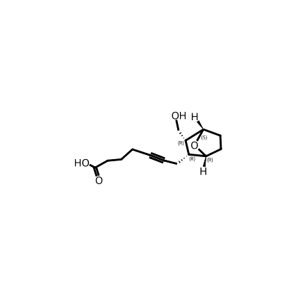 O=C(O)CCCC#CC[C@@H]1[C@H](CO)[C@@H]2CC[C@H]1O2